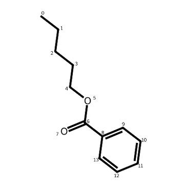 CCCCCOC(=O)c1ccccc1